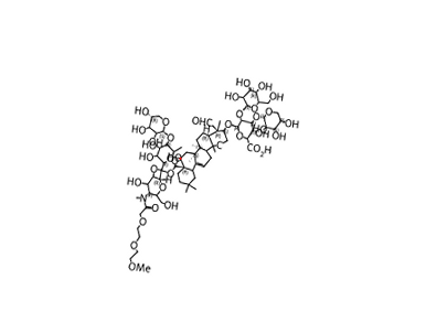 COCCOCCOCC(=O)N(C)[C@H]1C(CO)O[C@@H]2C(OC2(OC(=O)[C@]23CCC(C)(C)CC2C2=CCC4C5(C)CC[C@H](O[C@@H]6OC(C(=O)O)[C@@H](O)[C@H](O[C@@H]7OC[C@@H](O)[C@H](O)C7O)C6O[C@@H]6OC(CO)[C@H](O)[C@H](O)C6O)[C@](C)(C=O)[C@@H]5CC[C@]4(C)[C@]2(C)CC3O)[C@@H]2OC(C)[C@H](O[C@@H]3OC[C@@H](O)C(O)C3O)C(O)C2O)C1O